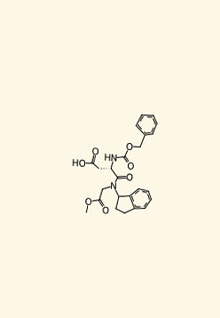 COC(=O)CN(C(=O)[C@H](CC(=O)O)NC(=O)OCc1ccccc1)C1CCc2ccccc21